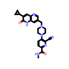 CNC(=O)c1ccc(N2CCN(Cc3cnc4cc(C5CC5)c(=O)[nH]c4c3)CC2)c(C#N)n1